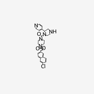 O=C(N1CCN(S(=O)(=O)c2ccc3cc(Cl)ccc3c2)CC1)N1CCNCC1c1ccncc1